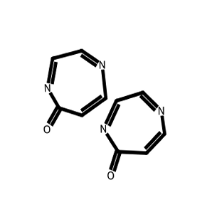 O=c1ccnccn1.O=c1ccnccn1